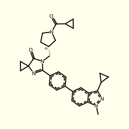 Cn1nc(C2CC2)c2cc(-c3ccc(C4=NC5(CC5)C(=O)N4C[C@@H]4CCN(C(=O)C5CC5)C4)cc3)ccc21